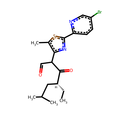 CC[C@H](CC(C)C)C(=O)C(C=O)c1nc(-c2ccc(Br)cn2)sc1C